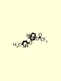 Cc1ccc(O[C@@H]2C[C@@H]3CC[C@@](OC(=O)C(F)(F)F)(C2)N3)nn1